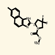 Cc1ccc2c(ccc3nc([C@@H]4CC(F)(F)CN4C(=O)OC(C)(C)C)[nH]c32)c1